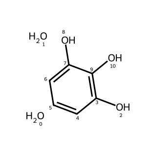 O.O.Oc1cccc(O)c1O